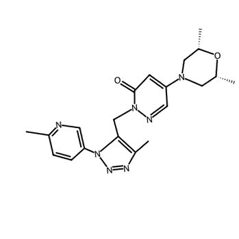 Cc1ccc(-n2nnc(C)c2Cn2ncc(N3C[C@@H](C)O[C@@H](C)C3)cc2=O)cn1